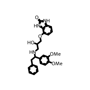 COc1ccc(C(Cc2ccccc2)NCC(O)COc2cccc3[nH]c(=O)[nH]c23)cc1OC